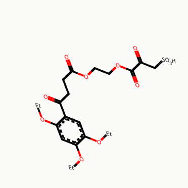 CCOc1cc(OCC)c(C(=O)CCC(=O)OCCOC(=O)C(=O)CS(=O)(=O)O)cc1OCC